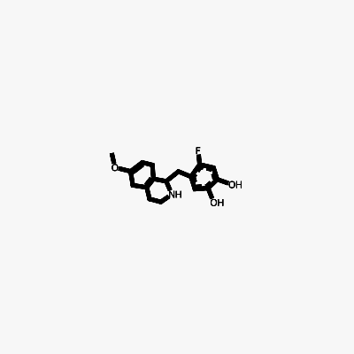 COC1=CCC2=C(CCNC2Cc2cc(O)c(O)cc2F)C1